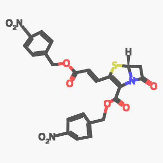 O=C(C=CC1=C(C(=O)OCc2ccc([N+](=O)[O-])cc2)N2C(=O)C[C@H]2S1)OCc1ccc([N+](=O)[O-])cc1